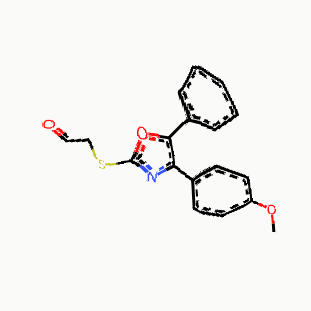 COc1ccc(-c2nc(SCC=O)oc2-c2ccccc2)cc1